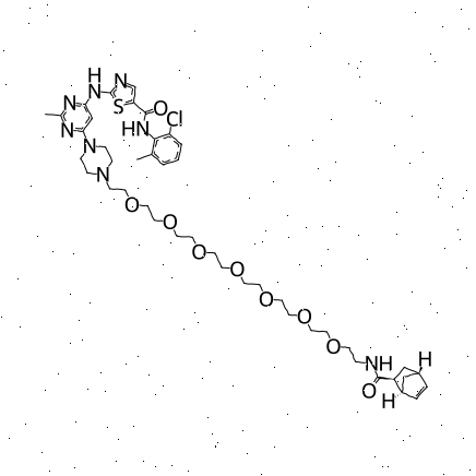 Cc1nc(Nc2ncc(C(=O)Nc3c(C)cccc3Cl)s2)cc(N2CCN(CCOCCOCCOCCOCCOCCOCCOCCNC(=O)[C@H]3C[C@@H]4C=C[C@@H]3C4)CC2)n1